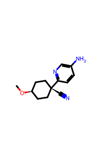 CO[C@H]1CC[C@](C#N)(c2ccc(N)cn2)CC1